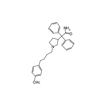 CC(=O)Oc1ccc(CCCCN2CCC(C(C(N)=O)(c3ccccc3)c3ccccc3)C2)cc1